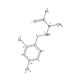 CCC(=O)N(C)NCc1ncc(C(F)(F)F)cc1Cl